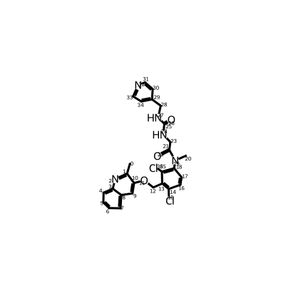 Cc1nc2ccccc2cc1OCc1c(Cl)ccc(N(C)C(=O)CNC(=O)NCc2ccncc2)c1Cl